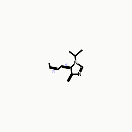 C=c1ncn(C(C)C)/c1=C/C=C\C